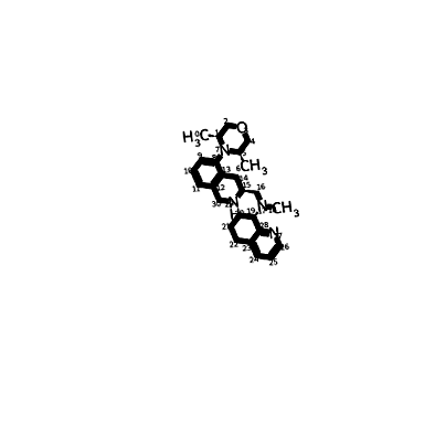 C[C@@H]1COC[C@H](C)N1c1cccc2c1C[C@@H](CN(C)[C@H]1CCCc3cccnc31)NC2